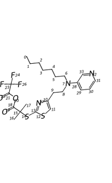 CCCCCCCN(CCc1csc(SC(C)(C)C(=O)OC(=O)C(F)(F)F)n1)c1cccnc1